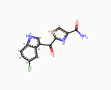 NC(=O)c1csc(C(=O)c2c[nH]c3ccc(Cl)cc23)n1